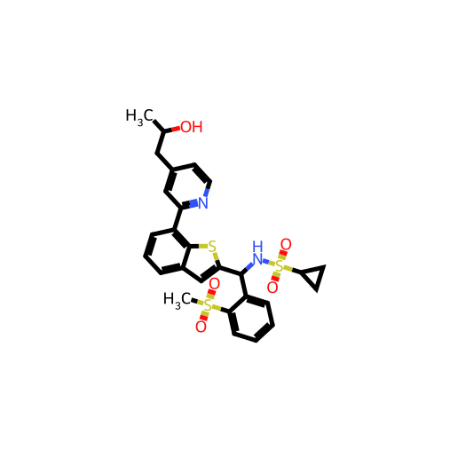 CC(O)Cc1ccnc(-c2cccc3cc(C(NS(=O)(=O)C4CC4)c4ccccc4S(C)(=O)=O)sc23)c1